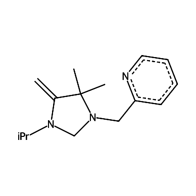 C=C1N(C(C)C)CN(Cc2ccccn2)C1(C)C